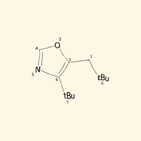 CC(C)(C)Cc1ocnc1C(C)(C)C